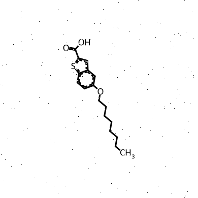 CCCCCCCCOc1ccc2sc(C(=O)O)cc2c1